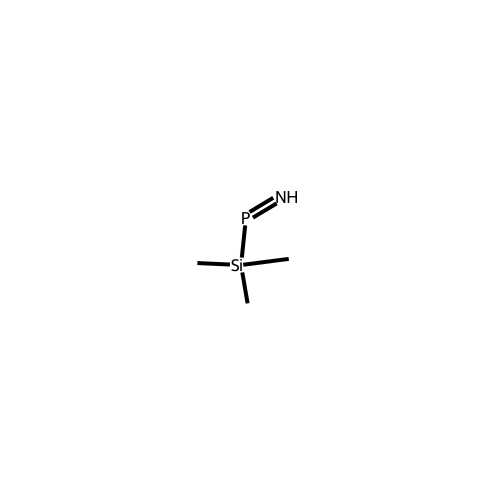 C[Si](C)(C)P=N